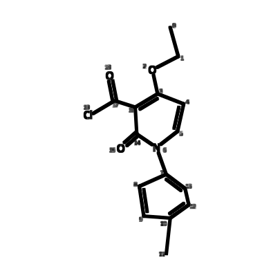 CCOc1ccn(-c2ccc(C)cc2)c(=O)c1C(=O)Cl